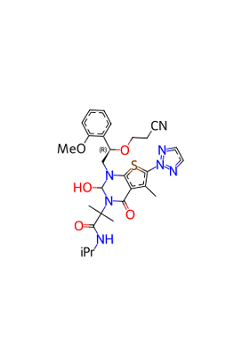 COc1ccccc1[C@H](CN1c2sc(-n3nccn3)c(C)c2C(=O)N(C(C)(C)C(=O)NC(C)C)C1O)OCCC#N